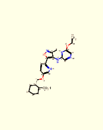 Cc1noc(-c2ccc(OC[C@H]3CCCC[C@@H]3C(=O)O)cn2)c1Nc1cncc(OCC(F)(F)F)n1